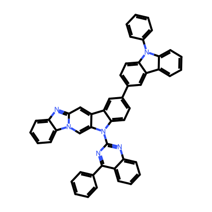 c1ccc(-c2nc(-n3c4ccc(-c5ccc6c(c5)c5ccccc5n6-c5ccccc5)cc4c4cc5nc6ccccc6n5cc43)nc3ccccc23)cc1